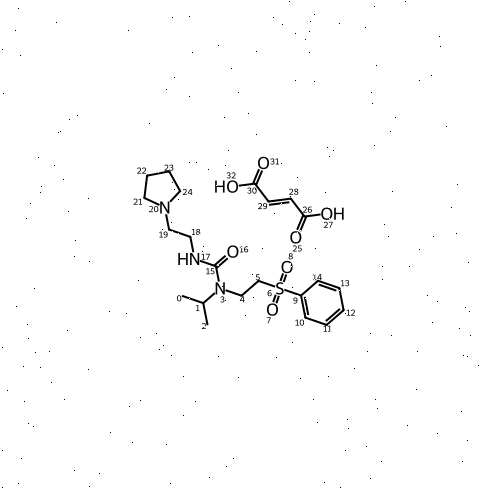 CC(C)N(CCS(=O)(=O)c1ccccc1)C(=O)NCCN1CCCC1.O=C(O)C=CC(=O)O